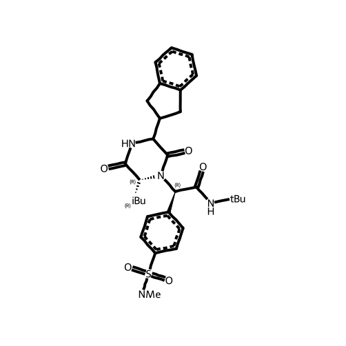 CC[C@@H](C)[C@@H]1C(=O)NC(C2Cc3ccccc3C2)C(=O)N1[C@@H](C(=O)NC(C)(C)C)c1ccc(S(=O)(=O)NC)cc1